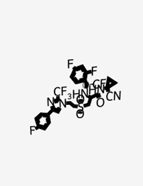 N#CC1(NC(=O)C(CS(=O)(=O)CCn2cc(-c3ccc(F)cc3)nc2C(F)(F)F)N[C@H](c2ccc(F)cc2F)C(F)(F)F)CC1